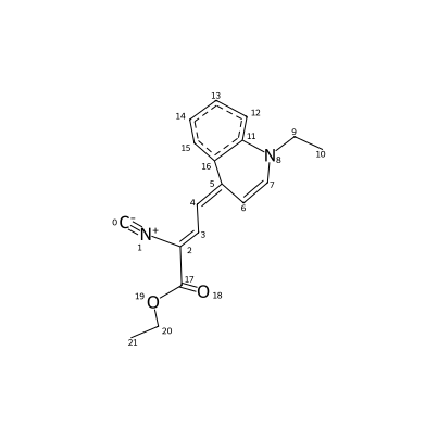 [C-]#[N+]C(=CC=C1C=CN(CC)c2ccccc21)C(=O)OCC